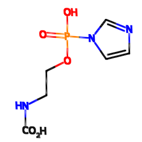 O=C(O)NCCOP(=O)(O)n1ccnc1